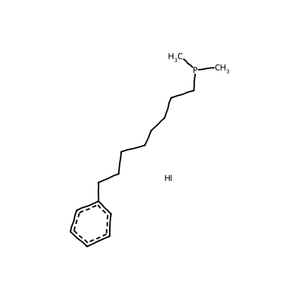 CP(C)CCCCCCCCc1ccccc1.I